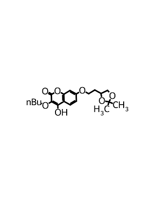 CCCCOc1c(O)c2ccc(OCCC3COC(C)(C)O3)cc2oc1=O